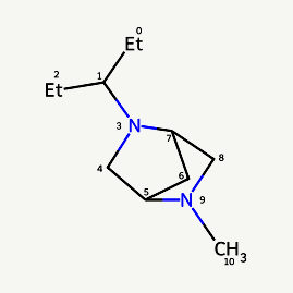 CCC(CC)N1CC2CC1CN2C